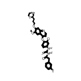 COc1cc2c(Oc3ccc(NC(=S)NC(=O)Cc4cccc(F)c4)cc3Cl)ccnc2cc1OCCCC1CNCCO1